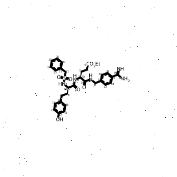 CCOC(=O)CC[C@H](NC(=O)[C@@H](CCc1ccc(O)cc1)NS(=O)(=O)Cc1ccccc1)C(=O)NCc1ccc(C(=N)N)cc1